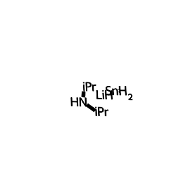 CC(C)NC(C)C.[LiH].[SnH2]